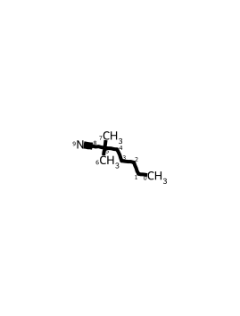 CCCCCC(C)(C)C#N